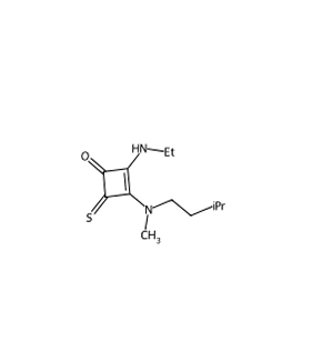 CCNc1c(N(C)CCC(C)C)c(=S)c1=O